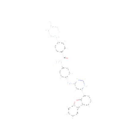 CN1CCN(c2ccc(C(=O)Nc3ccc(Nc4cc(-c5cccc6c5oc5ccccc56)ncn4)cc3)cc2)CC1